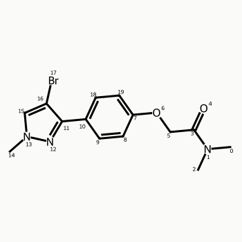 CN(C)C(=O)COc1ccc(-c2nn(C)cc2Br)cc1